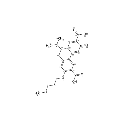 COCCCOc1cc2c(cc1C(=O)O)-c1cc(=O)c(C(=O)O)cn1C(C(C)C)C2